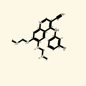 COCOc1cc2ncc(C#N)c(Nc3cccc(Br)c3)c2cc1OCOC